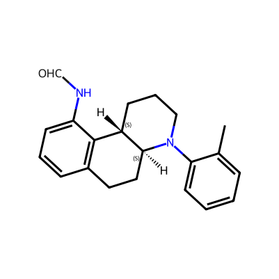 Cc1ccccc1N1CCC[C@H]2c3c(cccc3NC=O)CC[C@@H]21